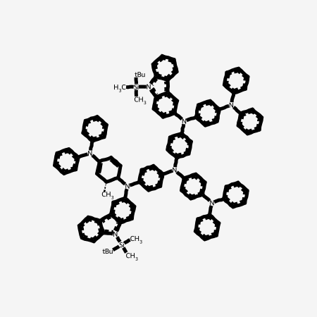 C[C@@H]1C=C(N(c2ccccc2)c2ccccc2)C=CC1N(c1ccc(N(c2ccc(N(c3ccccc3)c3ccccc3)cc2)c2ccc(N(c3ccc(N(c4ccccc4)c4ccccc4)cc3)c3ccc4c(c3)c3ccccc3n4[Si](C)(C)C(C)(C)C)cc2)cc1)c1ccc2c(c1)c1ccccc1n2[Si](C)(C)C(C)(C)C